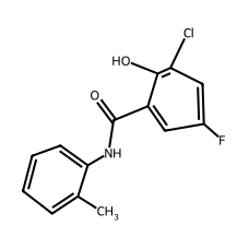 Cc1ccccc1NC(=O)c1cc(F)cc(Cl)c1O